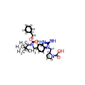 C[C@H](N(Cc1ccc2c(c1)[nH]c(=N)n2CC1CCCN1C(=O)O)C(=O)OCc1ccccc1)C(C)(C)C